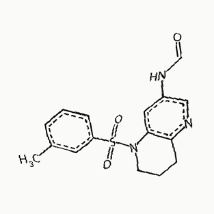 Cc1cccc(S(=O)(=O)N2CCCc3ncc(NC=O)cc32)c1